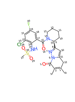 CC1=C(C)C(=O)n2nc([C@@H]3CCCCN3C(=O)c3cc(F)cc(Cl)c3NS(C)(=O)=O)cc2C1